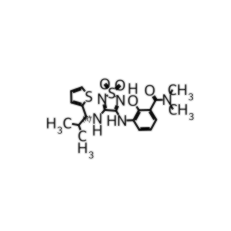 CC(C)[C@@H](NC1=NS(=O)(=O)N=C1Nc1cccc(C(=O)N(C)C)c1O)c1cccs1